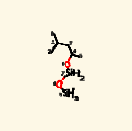 CC(C)CC(C)O[SiH2]O[SiH3]